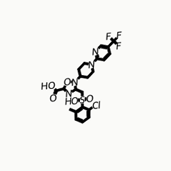 Cc1cccc(Cl)c1S(=O)(=O)CC1NC(C(=O)O)ON1C1CCN(c2ccc(C(F)(F)F)cn2)CC1